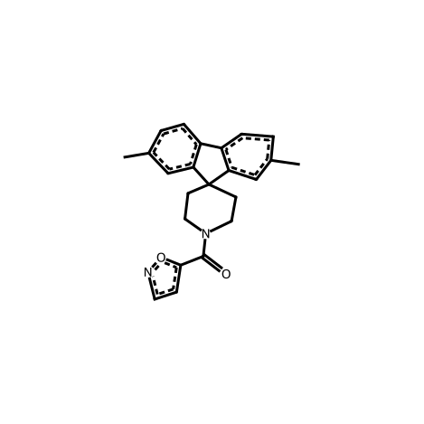 Cc1ccc2c(c1)C1(CCN(C(=O)c3ccno3)CC1)c1cc(C)ccc1-2